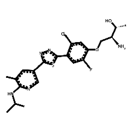 Cc1cc(-c2nnc(-c3cc(F)c(OC[C@H](N)[C@@H](C)O)cc3Cl)s2)cnc1NC(C)C